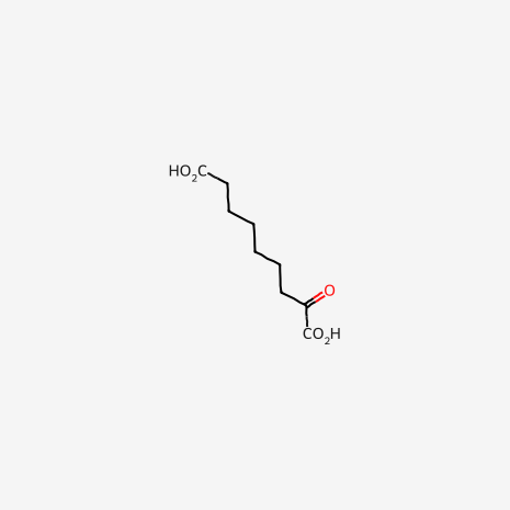 O=C(O)CCCCCCC(=O)C(=O)O